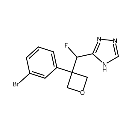 FC(c1nnc[nH]1)C1(c2cccc(Br)c2)COC1